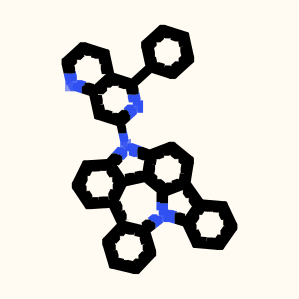 c1ccc(-c2nc(-n3c4cccc5c6ccccc6n6c7ccccc7c7ccc3c(c54)c76)cc3ncccc23)cc1